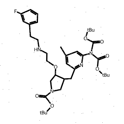 Cc1cc(CC2CN(C(=O)OC(C)(C)C)CC2OCCNCCc2cccc(F)c2)nc(N(C(=O)OC(C)(C)C)C(=O)OC(C)(C)C)c1